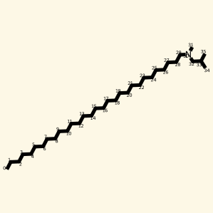 CCCCCCCCCCCCCCCCCCCCCCCCCCCCCCN(C)CC(C)C